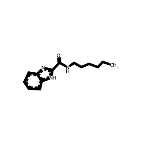 CCCCCCNC(=O)c1nc2ccccc2[nH]1